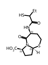 CCC(S)C(=O)N[C@H]1CCS[C@H]2CC[C@@H](C(=O)O)N2C1=O